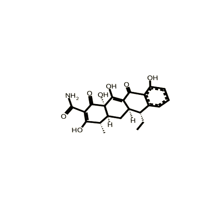 CC[C@H]1c2cccc(O)c2C(=O)C2=C(O)[C@]3(O)C(=O)C(C(N)=O)=C(O)[C@@H](C)[C@@H]3C[C@@H]21